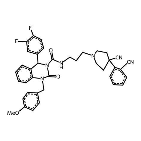 COc1ccc(CN2C(=O)N(C(=O)NCCCN3CCC(C#N)(c4ccccc4C#N)CC3)C(c3ccc(F)c(F)c3)c3ccccc32)cc1